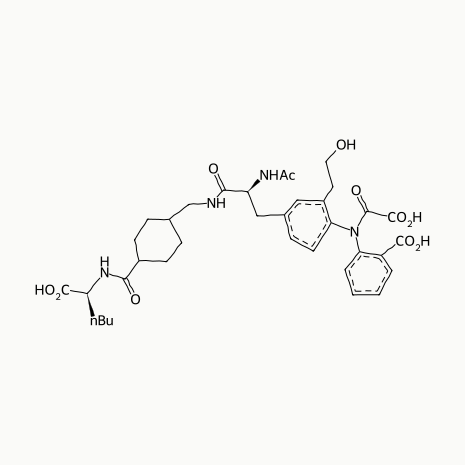 CCCC[C@H](NC(=O)C1CCC(CNC(=O)[C@H](Cc2ccc(N(C(=O)C(=O)O)c3ccccc3C(=O)O)c(CCO)c2)NC(C)=O)CC1)C(=O)O